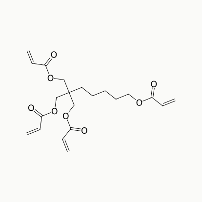 C=CC(=O)OCCCCCC(COC(=O)C=C)(COC(=O)C=C)COC(=O)C=C